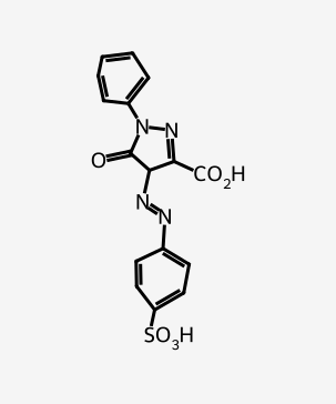 O=C(O)C1=NN(c2ccccc2)C(=O)C1/N=N/c1ccc(S(=O)(=O)O)cc1